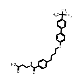 CC(C)(C)c1ccc(-c2ccc(OCCCCc3ccc(C(=O)NCCC(=O)O)cc3)cc2)cc1